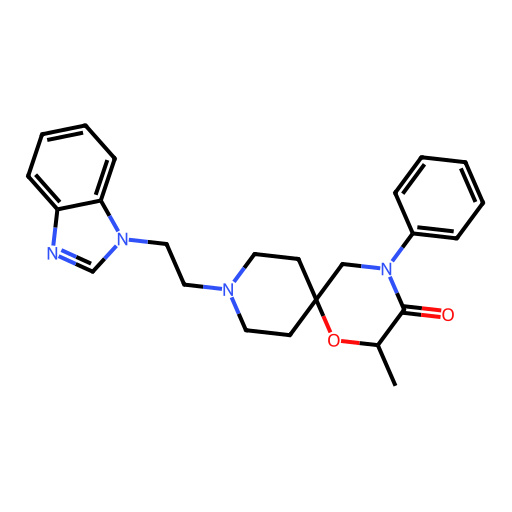 CC1OC2(CCN(CCn3cnc4ccccc43)CC2)CN(c2ccccc2)C1=O